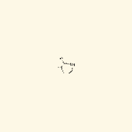 [O-][S+]1NCCCN1